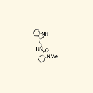 CNc1ccccc1C(=O)NCCc1c[nH]c2ccccc12